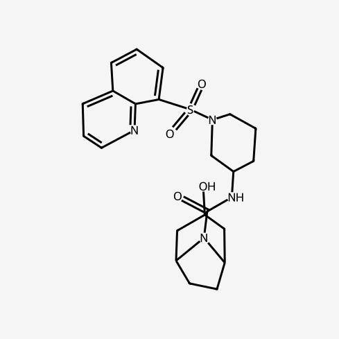 O=C(NC1CCCN(S(=O)(=O)c2cccc3cccnc23)C1)N1C2CCC1CC(O)C2